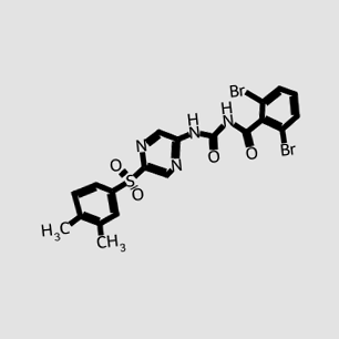 Cc1ccc(S(=O)(=O)c2cnc(NC(=O)NC(=O)c3c(Br)cccc3Br)cn2)cc1C